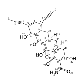 CC#Cc1cc(C#CC)c2c(c1O)C(=O)C1=C(O)[C@]3(O)C(=O)C(C(N)=O)=C(O)C[C@@H]3C[C@@H]1C2